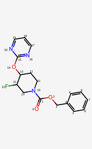 O=C(OCc1ccccc1)N1CCC(Oc2ncccn2)C(F)C1